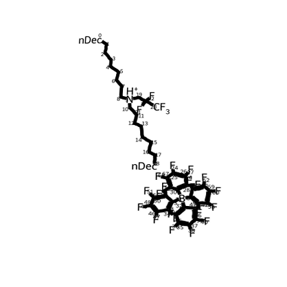 CCCCCCCCCCCCCCCCCC[NH+](CCCCCCCCCCCCCCCCCC)CC(F)(F)C(F)(F)F.Fc1c(F)c(F)c([B-](c2c(F)c(F)c(F)c(F)c2F)(c2c(F)c(F)c(F)c(F)c2F)c2c(F)c(F)c(F)c(F)c2F)c(F)c1F